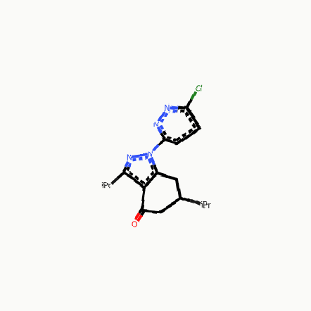 CC(C)c1nn(-c2ccc(Cl)nn2)c2c1C(=O)CC(C(C)C)C2